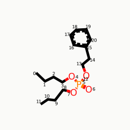 CCCCOP(=O)(OCCCC)OCCc1ccccc1